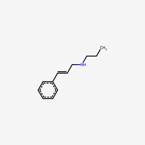 CCCNCC=Cc1ccccc1